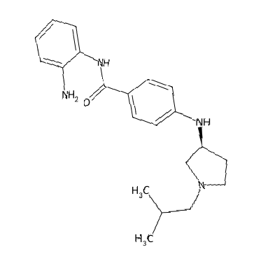 CC(C)CN1CC[C@H](Nc2ccc(C(=O)Nc3ccccc3N)cc2)C1